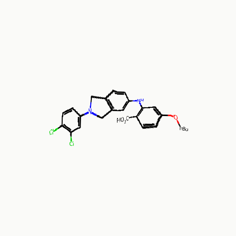 CCCCOc1ccc(C(=O)O)c(Nc2ccc3c(c2)CN(c2ccc(Cl)c(Cl)c2)C3)c1